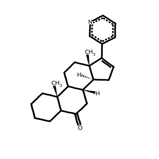 C[C@]12CCCCC1C(=O)C[C@@H]1C2CC[C@]2(C)C(c3cccnc3)=CC[C@@H]12